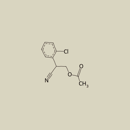 CC(=O)OCC(C#N)c1ccccc1Cl